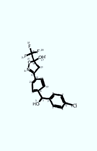 OC(c1ccc(Cl)cc1)c1ccc(C2=NOC(O)(C(F)(F)F)C2)cc1